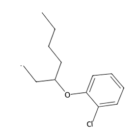 [CH2]CC(CCCC)Oc1ccccc1Cl